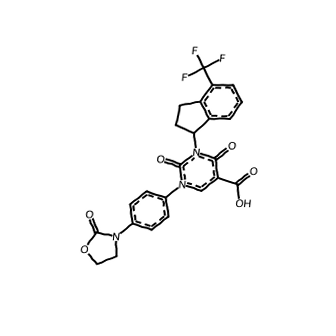 O=C(O)c1cn(-c2ccc(N3CCOC3=O)cc2)c(=O)n(C2CCc3c2cccc3C(F)(F)F)c1=O